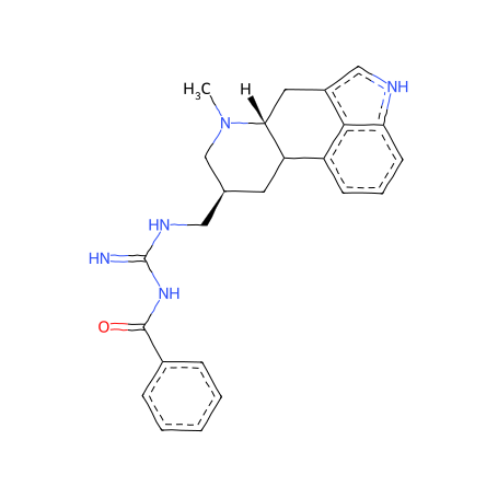 CN1C[C@H](CNC(=N)NC(=O)c2ccccc2)CC2c3cccc4[nH]cc(c34)C[C@H]21